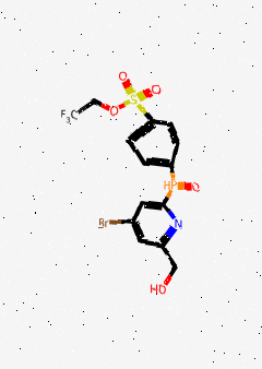 O=[PH](c1ccc(S(=O)(=O)OCC(F)(F)F)cc1)c1cc(Br)cc(CO)n1